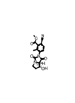 COC(=O)c1c(C#N)ccc(N2C(=O)[C@@H]3[C@H](O)CCN3C2=O)c1C